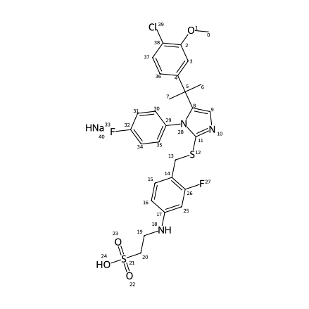 COc1cc(C(C)(C)c2cnc(SCc3ccc(NCCS(=O)(=O)O)cc3F)n2-c2ccc(F)cc2)ccc1Cl.[NaH]